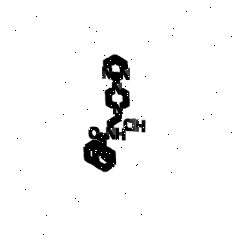 Cl.O=C(NCCN1CCN(c2ncccn2)CC1)C12CC3CC(CC(C3)C1)C2